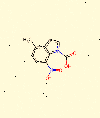 Cc1ccc([N+](=O)[O-])c2c1ccn2C(=O)O